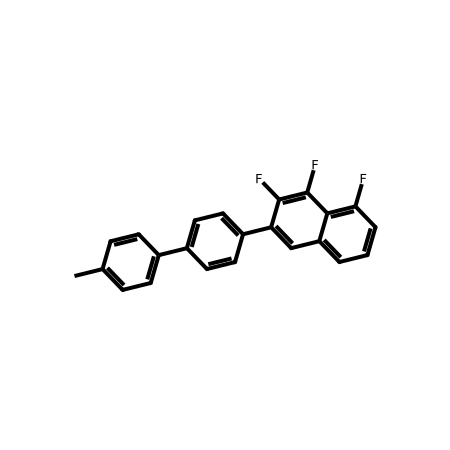 Cc1ccc(-c2ccc(-c3cc4cccc(F)c4c(F)c3F)cc2)cc1